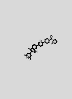 Cc1cc(-c2[nH]c3cc(-c4ccc(N5CCN(C(=O)[C@H]6CCCN6C)CC5)nc4)ccc3c2C)cc(C)n1